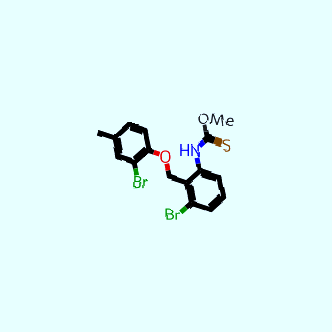 COC(=S)Nc1cccc(Br)c1COc1ccc(C)cc1Br